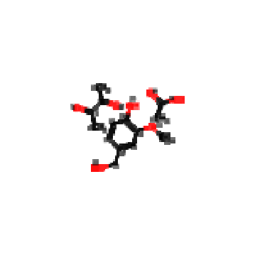 CC(=O)C(C)=O.CC(=O)O.COc1cc(CO)ccc1O